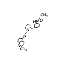 CCC(=O)Nc1cccc(CC2CCCCN2CCOc2cccc3nc(C)ccc23)c1